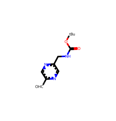 CC(C)(C)OC(=O)NCc1cnc(C=O)cn1